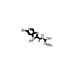 CC(C)n1c([C@H](C)NC(O)OC(C)(C)C)nc2cnc(Br)cc21